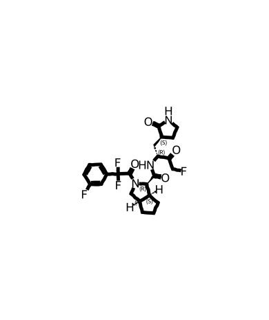 O=C1NCC[C@H]1C[C@@H](NC(=O)[C@H]1[C@H]2CCC[C@H]2CN1C(=O)C(F)(F)c1cccc(F)c1)C(=O)CF